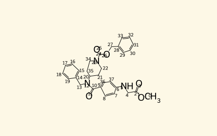 COC(=O)CNc1ccc(C(=O)N(Cc2ccccc2)C2CCN(C(=O)OCc3ccccc3)CC2)cc1